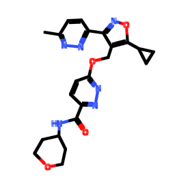 Cc1ccc(-c2noc(C3CC3)c2COc2ccc(C(=O)NC3CCOCC3)nn2)nn1